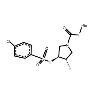 C[C@H]1CN(C(=O)OC(C)(C)C)C[C@@H]1OS(=O)(=O)c1ccc(Cl)cc1